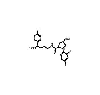 CC(=O)NC(CCCNC(=O)C1CN(C(C)(C)C)C[C@H]1C1C=CC(F)=CC1F)C1=CC=C(Cl)CC1